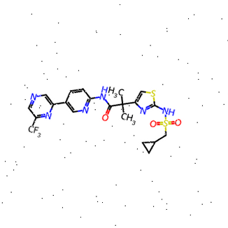 CC(C)(C(=O)Nc1ccc(-c2cncc(C(F)(F)F)n2)cn1)c1csc(NS(=O)(=O)CC2CC2)n1